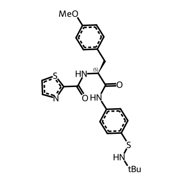 COc1ccc(C[C@H](NC(=O)c2nccs2)C(=O)Nc2ccc(SNC(C)(C)C)cc2)cc1